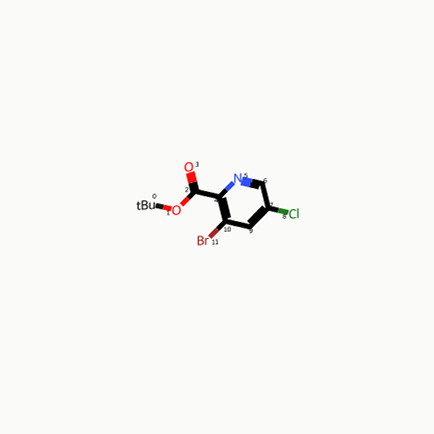 CC(C)(C)OC(=O)c1ncc(Cl)cc1Br